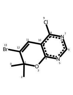 CC1(C)Oc2ncnc(Cl)c2C=C1Br